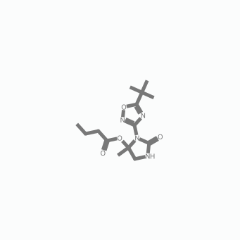 CCCC(=O)OC1(C)CNC(=O)N1c1noc(C(C)(C)C)n1